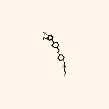 N#Cc1ccc(C2CCC(CC[C@H]3CC[C@H](C/C=C/CCF)CC3)CC2)cc1F